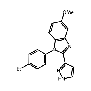 [CH2]Cc1ccc(-n2c(-c3cc[nH]n3)nc3cc(OC)ccc32)cc1